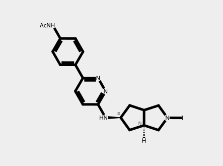 CC(=O)Nc1ccc(-c2ccc(N[C@H]3CC4CN(I)C[C@H]4C3)nn2)cc1